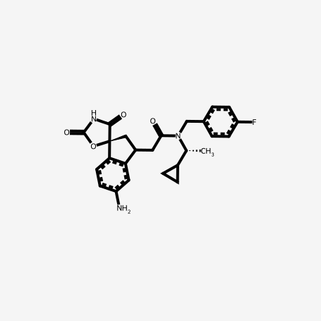 C[C@H](C1CC1)N(Cc1ccc(F)cc1)C(=O)CC1C[C@]2(OC(=O)NC2=O)c2ccc(N)cc21